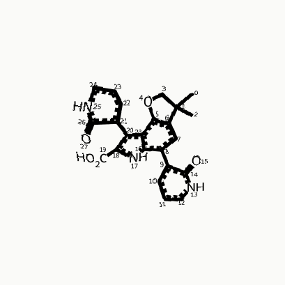 CC1(C)COc2c1cc(-c1ccc[nH]c1=O)c1[nH]c(C(=O)O)c(-c3ccc[nH]c3=O)c21